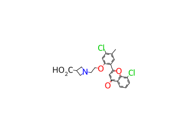 Cc1cc(-c2cc(=O)c3cccc(Cl)c3o2)c(OCCN2CC(C(=O)O)C2)cc1Cl